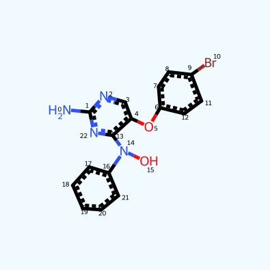 Nc1ncc(Oc2ccc(Br)cc2)c(N(O)c2ccccc2)n1